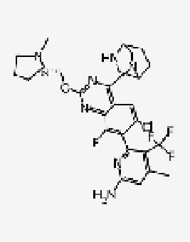 Cc1cc(N)nc(-c2c(Cl)cc3c(N4CC5CCC4CN5)nc(OC[C@@H]4CCCN4C)nc3c2F)c1C(F)(F)F